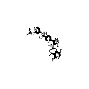 C[C@@H](OC(=O)Nc1c(-c2ccc(C(=O)Nc3ccnc(OC(F)F)c3)cn2)nnn1C)c1cc(F)cnc1F